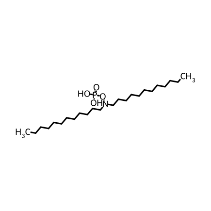 CCCCCCCCCCCCN(CCCCCCCCCCCC)OP(=O)(O)O